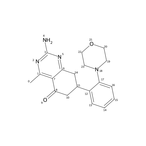 Cc1nc(N)nc2c1C(=O)CC(c1ccccc1N1CCOCC1)C2